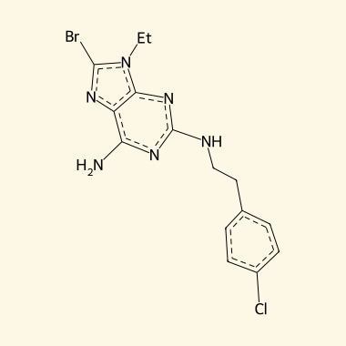 CCn1c(Br)nc2c(N)nc(NCCc3ccc(Cl)cc3)nc21